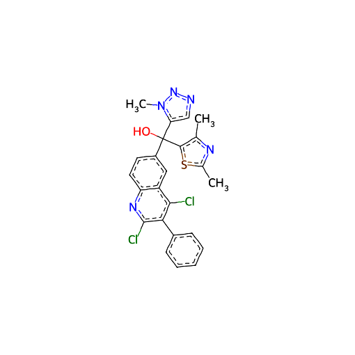 Cc1nc(C)c(C(O)(c2ccc3nc(Cl)c(-c4ccccc4)c(Cl)c3c2)c2cnnn2C)s1